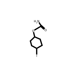 NC(=O)OC1CCC(I)CC1